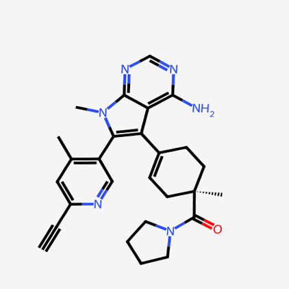 C#Cc1cc(C)c(-c2c(C3=CC[C@](C)(C(=O)N4CCCC4)CC3)c3c(N)ncnc3n2C)cn1